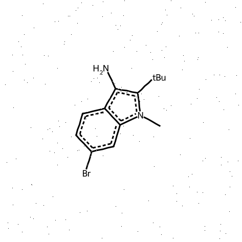 Cn1c(C(C)(C)C)c(N)c2ccc(Br)cc21